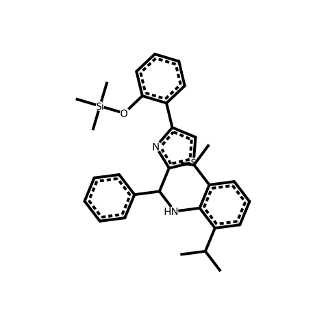 CC(C)c1cccc(C(C)C)c1NC(c1ccccc1)c1nc(-c2ccccc2O[Si](C)(C)C)cs1